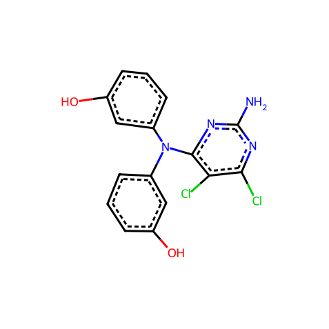 Nc1nc(Cl)c(Cl)c(N(c2cccc(O)c2)c2cccc(O)c2)n1